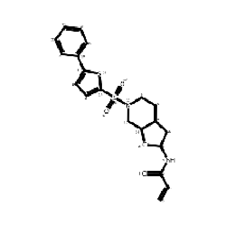 C=CC(=O)NC1CC2CCN(S(=O)(=O)c3ccc(-c4ccccc4)s3)CC2O1